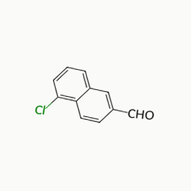 O=Cc1ccc2c(Cl)cccc2c1